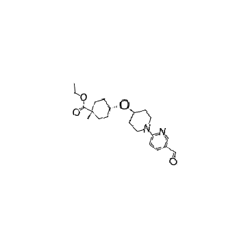 CCOC(=O)[C@]1(C)CC[C@H](OC2CCN(c3ccc(C=O)cn3)CC2)CC1